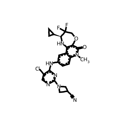 Cn1c(=O)c2c(c3cc(Nc4nc(N5CC(C#N)C5)ncc4Cl)ccc31)N[C@@H](C1CC1)C(F)(F)CO2